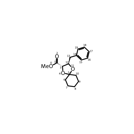 COC(=O)[C@H]1OC2(CCCCC2)O[C@@H]1Cc1ccccc1